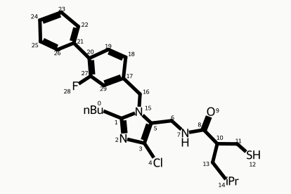 CCCCc1nc(Cl)c(CNC(=O)C(CS)CC(C)C)n1Cc1ccc(-c2ccccc2)c(F)c1